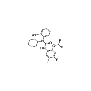 CC(C)c1ccccc1N(C(=O)Nc1cc(F)c(F)cc1OC(F)F)C1CCCCC1